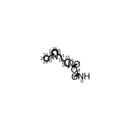 CNC(=O)COC(=O)N1CCC(CCc2cccc(C3CCCC3)n2)CC1